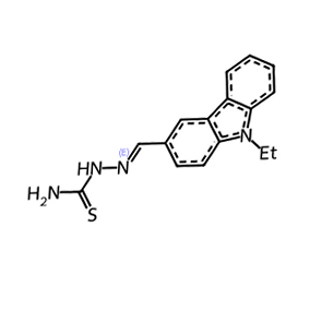 CCn1c2ccccc2c2cc(/C=N/NC(N)=S)ccc21